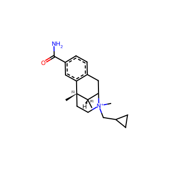 C[C@H]1C2Cc3ccc(C(N)=O)cc3[C@@]1(C)CC[N+]2(C)CC1CC1